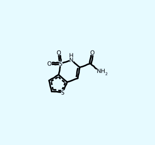 NC(=O)C1=Cc2sccc2S(=O)(=O)N1